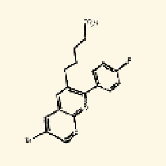 O=C(O)CCCCc1cc2cc(Br)cnc2nc1-c1ccc(F)cc1